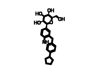 Nc1ccc([C@@H]2O[C@H](CO)[C@@H](O)[C@H](O)[C@H]2O)cc1Cc1ccc(C2CCCC2)cc1